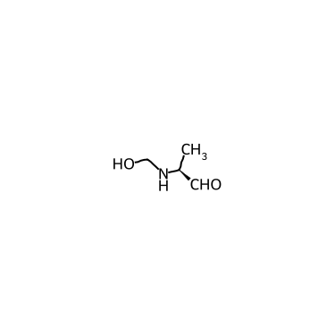 C[C@@H](C=O)NCO